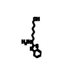 NN(CCCCCCO)c1nc2ccccc2s1